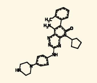 Cc1ccccc1-c1c(N)c2nnc(Nc3ccc(N4CCNCC4)cc3)nc2n(C2CCCC2)c1=O